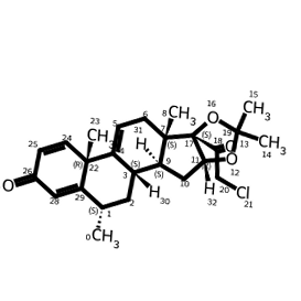 C[C@H]1C[C@@H]2C(=CC[C@@]3(C)[C@H]2C[C@H]2OC(C)(C)O[C@]23C(=O)CCl)[C@@]2(C)C=CC(=O)C=C12